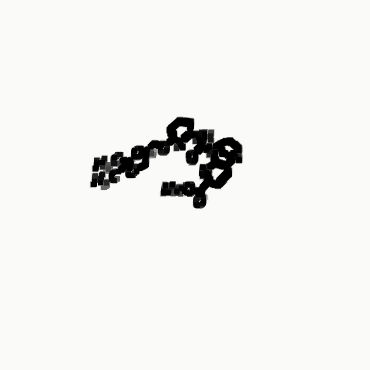 COC(=O)c1ccc2c(n1)N(C(=O)Nc1cccc(OC[C@H]3COC(C)(C)O3)n1)C1CCN2C1